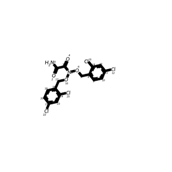 NC(=O)C(=O)N(OCc1ccc(Cl)cc1Cl)OCc1ccc(Cl)cc1Cl